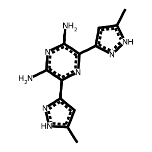 Cc1cc(-c2nc(-c3cc(C)[nH]n3)c(N)nc2N)n[nH]1